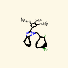 COc1cc(-c2nc3ccccc3n2Cc2ccc(Cl)cc2Cl)cc(OC)c1OC